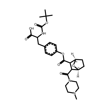 CN1CCN(C(=O)C2C(C(=O)Oc3ccc(CC(NC(=O)OC(C)(C)C)C(=O)O)cc3)[C@H]3CC[C@@H]2O3)CC1